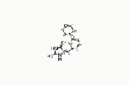 O=C1NC(=O)/C(=C\c2ccnc(N3CCOCC3)n2)N1